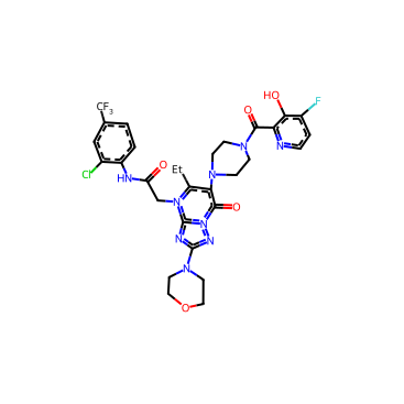 CCc1c(N2CCN(C(=O)c3nccc(F)c3O)CC2)c(=O)n2nc(N3CCOCC3)nc2n1CC(=O)Nc1ccc(C(F)(F)F)cc1Cl